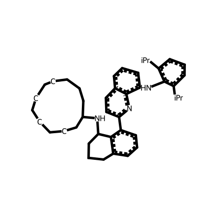 CC(C)c1cccc(C(C)C)c1Nc1cccc2ccc(-c3cccc4c3C(NC3CCCCCCCCCCC3)CCC4)nc12